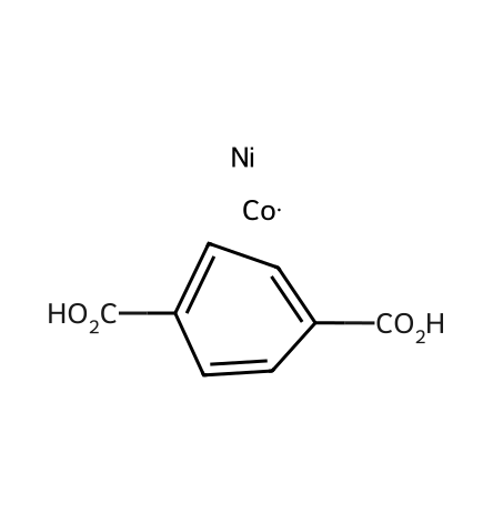 O=C(O)c1ccc(C(=O)O)cc1.[Co].[Ni]